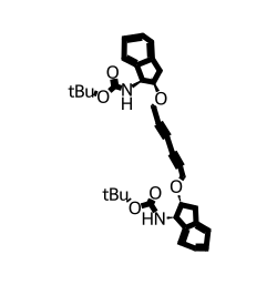 CC(C)(C)OC(=O)N[C@H]1c2ccccc2C[C@H]1OCC#CC#CCO[C@@H]1Cc2ccccc2[C@@H]1NC(=O)OC(C)(C)C